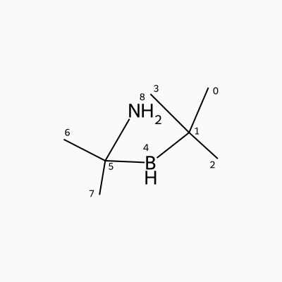 CC(C)(C)BC(C)(C)N